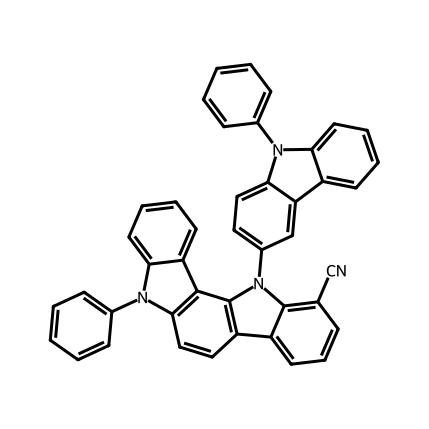 N#Cc1cccc2c3ccc4c(c5ccccc5n4-c4ccccc4)c3n(-c3ccc4c(c3)c3ccccc3n4-c3ccccc3)c12